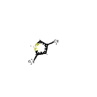 N#Cc1csc([N+](=O)[O-])c1